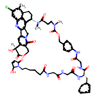 CC[C@@]1(O)C(=O)OCc2c1cc1n(c2=O)Cc2c-1nc1cc(F)c(C)c3c1c2[C@@H](N(C)C(=O)CCN(C)C(=O)OCc1ccc(NC(=O)CNC(=O)[C@H](Cc2ccccc2)NC(=O)CNC(=O)CNC(=O)CCCCCN2C(=O)C=CC2O)cc1)CC3